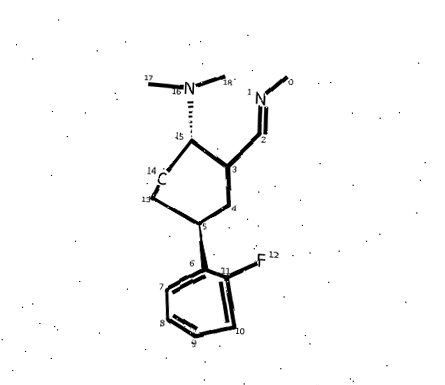 C/N=C/C1C[C@@H](c2ccccc2F)CC[C@@H]1N(C)C